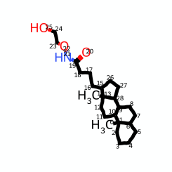 CC12CCCCC1CCC1C2CCC2(C)C(CCCC(=O)NOCCO)CCC12